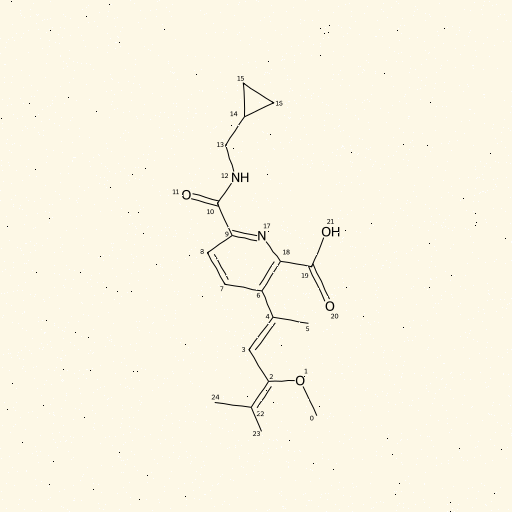 COC(/C=C(\C)c1ccc(C(=O)NCC2CC2)nc1C(=O)O)=C(C)C